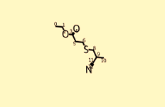 CCOC(=O)CCSCC(C)C#N